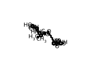 CC(C)c1ccc(N2C[C@H](CS(=O)(=O)CCCCCCNc3cccc4c3C(=O)N(C3CCC(=O)NC3=O)C4=O)[C@H]2C)c2cnc(Nc3ccnc(N4CC[C@@H](O)[C@@](C)(F)C4)n3)cc12